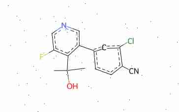 CC(C)(O)c1c(F)cncc1-c1ccc(C#N)c(Cl)c1